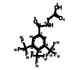 O=C(O)CNC(=O)c1cc(C(F)(F)F)c(C(F)(F)F)c(C(F)(F)F)c1